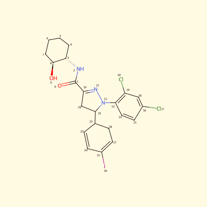 O=C(N[C@H]1CCCC[C@@H]1O)C1=NN(c2ccc(Cl)cc2Cl)C(C2C=CC(I)=CC2)C1